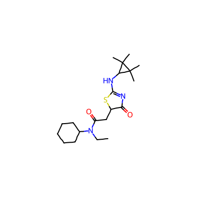 CCN(C(=O)CC1SC(NC2C(C)(C)C2(C)C)=NC1=O)C1CCCCC1